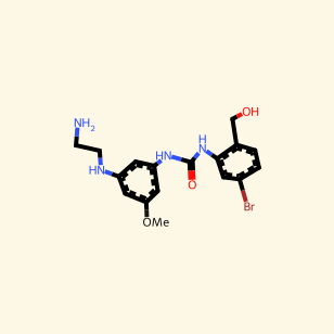 COc1cc(NCCN)cc(NC(=O)Nc2cc(Br)ccc2CO)c1